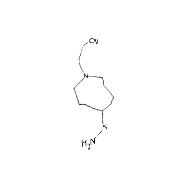 N#CCN1CCC(SN)CC1